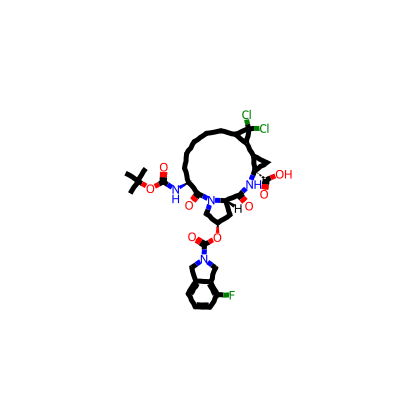 CC(C)(C)OC(=O)N[C@H]1CCCCCC2C(C3C[C@@]3(C(=O)O)NC(=O)[C@@H]3C[C@@H](OC(=O)N4Cc5cccc(F)c5C4)CN3C1=O)C2(Cl)Cl